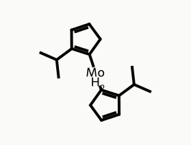 CC(C)C1=[C]([MoH2][C]2=C(C(C)C)C=CC2)CC=C1